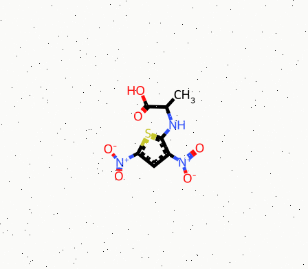 CC(Nc1sc([N+](=O)[O-])cc1[N+](=O)[O-])C(=O)O